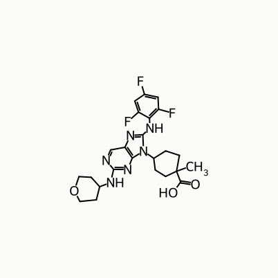 CC1(C(=O)O)CCC(n2c(Nc3c(F)cc(F)cc3F)nc3cnc(NC4CCOCC4)nc32)CC1